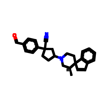 C[C@H]1CN(C2CCC(C#N)(c3ccc(C=O)cc3)C2)CCC12C=Cc1ccccc12